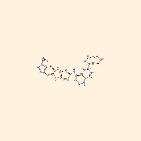 Cn1cnc2cc(Oc3ccc(Nc4ncnc5cnc(N6CCC7COCC76)nc45)cc3Cl)ccc21